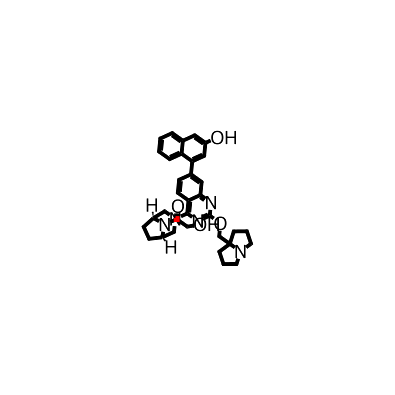 O=C(CO)N1[C@@H]2CC[C@H]1CN(c1nc(OCC34CCCN3CCC4)nc3cc(-c4cc(O)cc5ccccc45)ccc13)C2